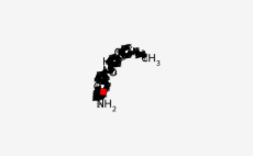 CCCCN1CCC(Oc2ccc(C(=O)Nc3ccc4c(c3)CCc3cc(N)ccc3O4)cc2)CC1